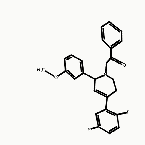 COc1cccc(C2C=C(c3cc(F)ccc3F)CCN2CC(=O)c2ccccc2)c1